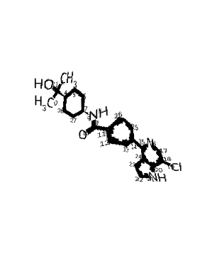 CC(C)(O)[C@H]1CC[C@H](NC(=O)c2ccc(-c3ncc(Cl)c4[nH]ccc34)cc2)CC1